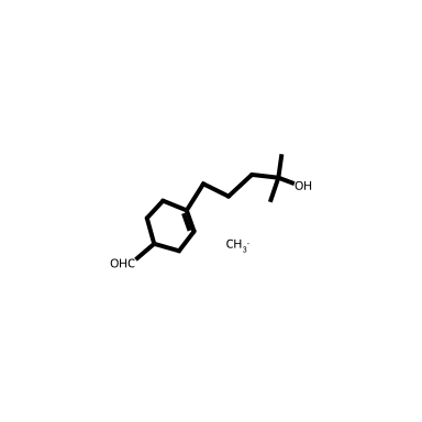 CC(C)(O)CCCC1=CCC(C=O)CC1.[CH3]